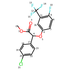 COC(=O)C(Oc1ccc(F)c(C(F)(F)F)c1)c1ccc(Cl)cc1